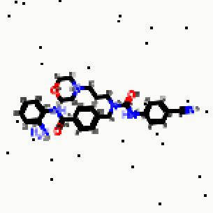 N#Cc1ccc(NC(=O)N(CCCN2CCOCC2)Cc2ccc(C(=O)Nc3ccccc3N)cc2)cc1